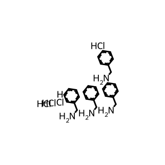 Cl.Cl.Cl.Cl.NCc1ccccc1.NCc1ccccc1.NCc1ccccc1.NCc1ccccc1